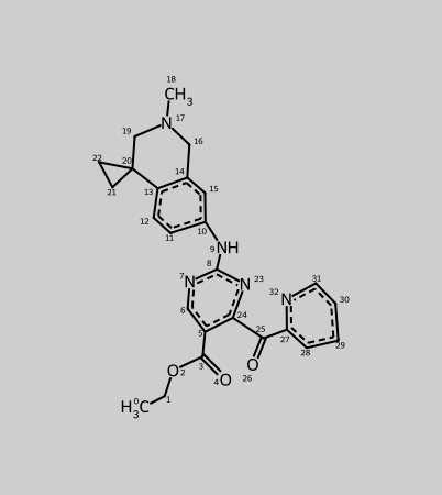 CCOC(=O)c1cnc(Nc2ccc3c(c2)CN(C)CC32CC2)nc1C(=O)c1ccccn1